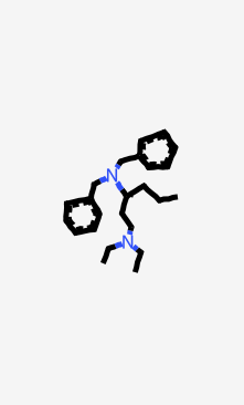 CCC[C](CCN(CC)CC)N(Cc1ccccc1)Cc1ccccc1